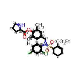 CCOC(=O)C1=CCCCC1S(=O)(=O)N(Cc1cc(C)c(OC(=O)C2CCCN2)c(C)c1)c1ccc(F)cc1Cl